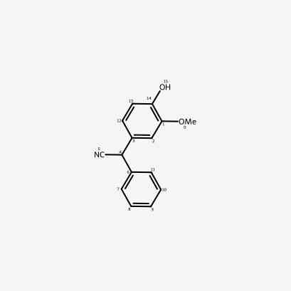 COc1cc(C(C#N)c2ccccc2)ccc1O